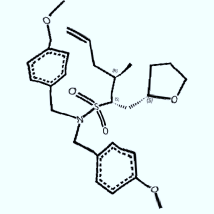 C=CC[C@@H](C)[C@H](C[C@@H]1CCCO1)S(=O)(=O)N(Cc1ccc(OC)cc1)Cc1ccc(OC)cc1